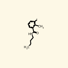 CCCCNC(=O)c1cccc(I)c1C